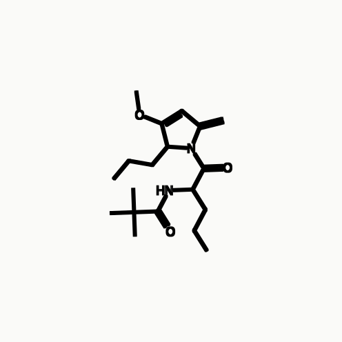 C=C1C=C(OC)C(CCC)N1C(=O)C(CCC)NC(=O)C(C)(C)C